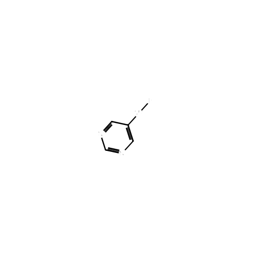 [Br][Mg][c]1cncnc1